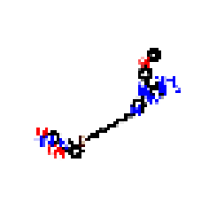 Nc1ncnc2c1c(-c1ccc(Oc3ccccc3)cc1)nn2C1CCN(CCCCCCCCCCCSc2cccc3c2CN(C2CCC(=O)NC2=O)C3=O)CC1